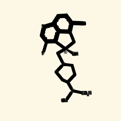 CC(C)(C)N(C(=O)O)C1CCN(C[C@]2(O)Cn3c(=O)ccc4ncc(F)c2c43)CC1